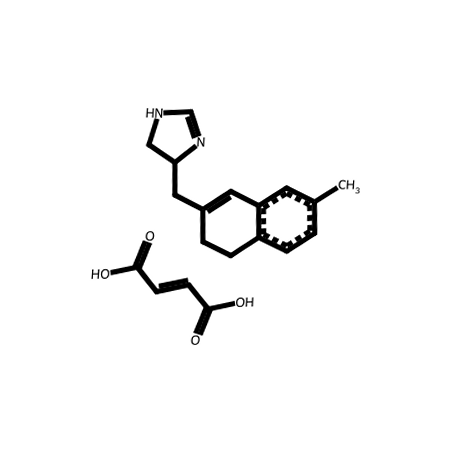 Cc1ccc2c(c1)C=C(CC1CNC=N1)CC2.O=C(O)C=CC(=O)O